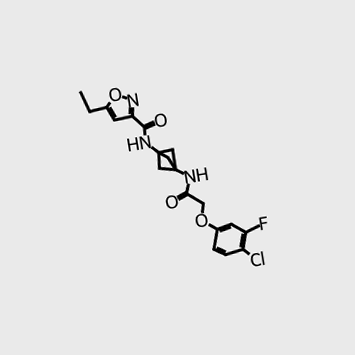 CCc1cc(C(=O)NC23CC(NC(=O)COc4ccc(Cl)c(F)c4)(C2)C3)no1